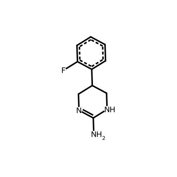 NC1=NCC(c2ccccc2F)CN1